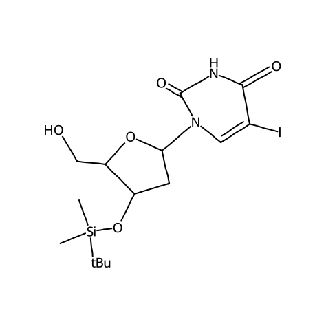 CC(C)(C)[Si](C)(C)OC1CC(n2cc(I)c(=O)[nH]c2=O)OC1CO